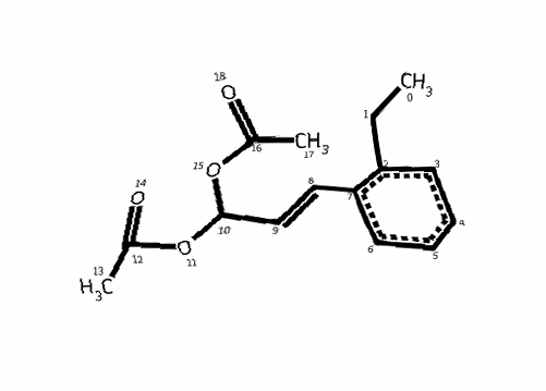 CCc1ccccc1/C=C/C(OC(C)=O)OC(C)=O